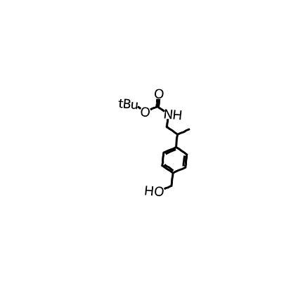 CC(CNC(=O)OC(C)(C)C)c1ccc(CO)cc1